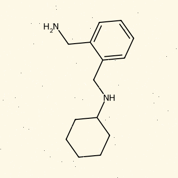 NCc1ccccc1CNC1CCCCC1